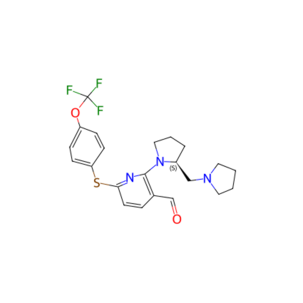 O=Cc1ccc(Sc2ccc(OC(F)(F)F)cc2)nc1N1CCC[C@H]1CN1CCCC1